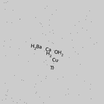 O.[BaH2].[CaH2].[Cu].[Tl]